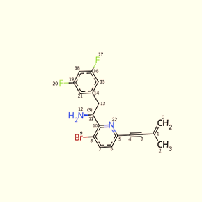 C=C(C)C#Cc1ccc(Br)c([C@@H](N)Cc2cc(F)cc(F)c2)n1